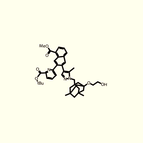 COC(=O)c1cccc2cc(-c3cnn(CC45CC6(C)CC(C)(C4)CC(OCCO)(C6)C5)c3C)c(-c3cccc(C(=O)OC(C)(C)C)n3)cc12